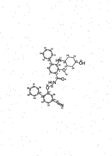 COc1c(C(N)=O)ccc(-c2ccccc2)c1NC1CCC(O)CC1.COc1cc(C#N)ccc1-c1ccccc1